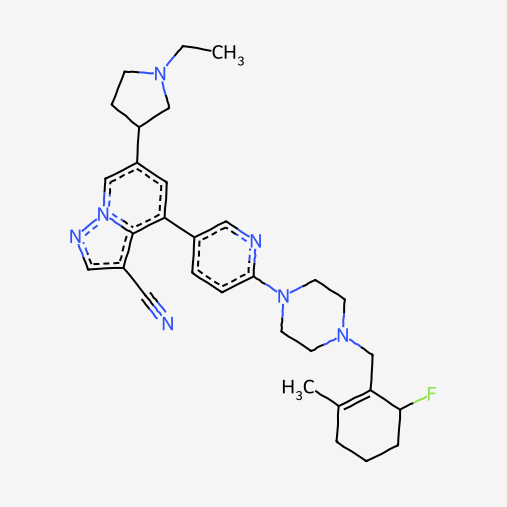 CCN1CCC(c2cc(-c3ccc(N4CCN(CC5=C(C)CCCC5F)CC4)nc3)c3c(C#N)cnn3c2)C1